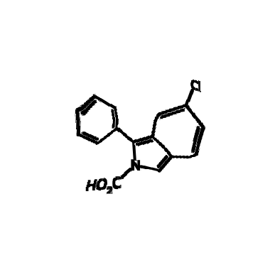 O=C(O)n1cc2ccc(Cl)cc2c1-c1ccccc1